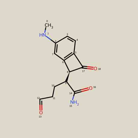 CNc1ccc2c(c1)[C@H](C(CCC=O)C(N)=O)C2=O